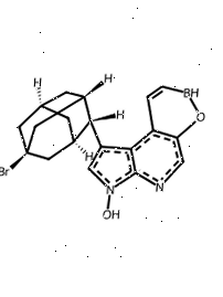 On1cc([C@@H]2[C@@H]3C[C@@H]4C[C@H]2C[C@@](Br)(C4)C3)c2c3c(cnc21)OBC=C3